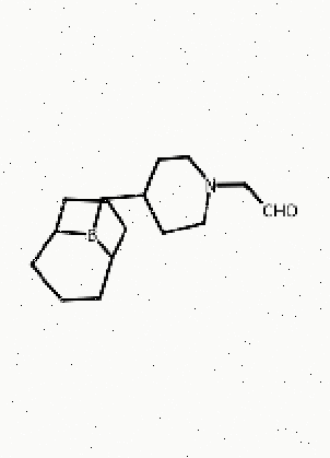 O=CCN1CCC(CB2C3CCCC2CCC3)CC1